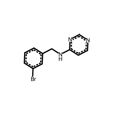 Brc1cccc(CNc2ccn[c]n2)c1